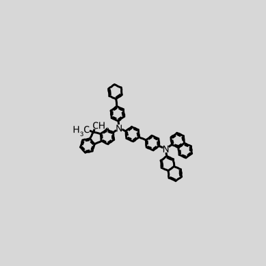 CC1(C)c2ccccc2-c2ccc(N(c3ccc(C4=CCCC=C4)cc3)c3ccc(-c4ccc(N(C5=CC6C=CC=CC6C=C5)c5cccc6ccccc56)cc4)cc3)cc21